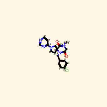 CC(C)N1CC(=O)N(Cc2ccc(Cl)cc2)C2(CCN(c3ccncn3)C2)C1=O